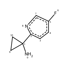 NC1(c2ccc(F)cn2)CC1